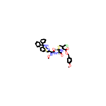 CON=C(C(=O)N[C@@H]1C(=O)N2C(C(=O)OCc3ccc(OC)cc3)=C(CCl)CS[C@@H]12)c1csc(NC(c2ccccc2)(c2ccccc2)c2ccccc2)n1